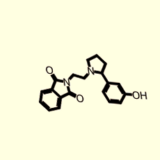 O=C1c2ccccc2C(=O)N1CCN1CCCC1c1cccc(O)c1